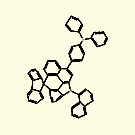 c1ccc(N(c2ccccc2)c2ccc(-c3cc4c5c6c(cccc36)C3(c6ccccc6-c6ccccc63)c3cccc(c35)n4-c3cccc4ccccc34)cc2)cc1